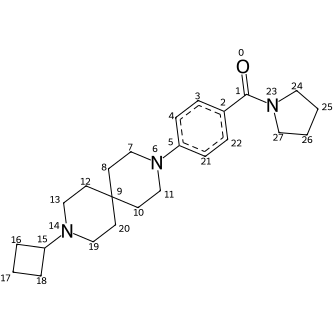 O=C(c1ccc(N2CCC3(CC2)CCN(C2CCC2)CC3)cc1)N1CCCC1